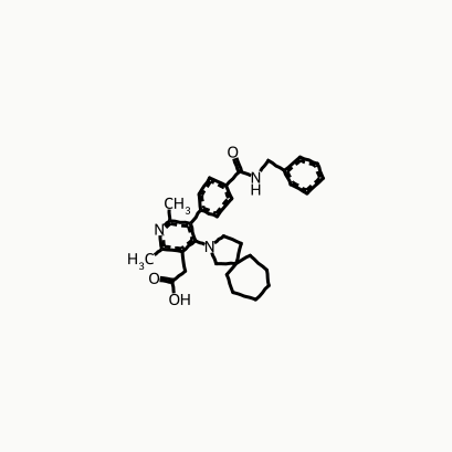 Cc1nc(C)c(-c2ccc(C(=O)NCc3ccccc3)cc2)c(N2CCC3(CCCCCC3)C2)c1CC(=O)O